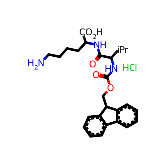 CC(C)C(NC(=O)OCC1c2ccccc2-c2ccccc21)C(=O)NC(CCCCN)C(=O)O.Cl